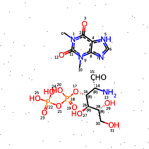 Cn1c(=O)c2[nH]cnc2n(C)c1=O.N[C@@H](C=O)[C@@H](OP(=O)(O)OP(=O)(O)O)[C@H](O)[C@H](O)CO